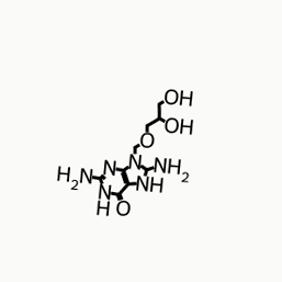 Nc1nc2c(c(=O)[nH]1)NC(N)N2COCC(O)CO